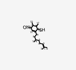 CC(C)=CCCC(C)CCC1=CC(N=O)C(C)C(C)C1S